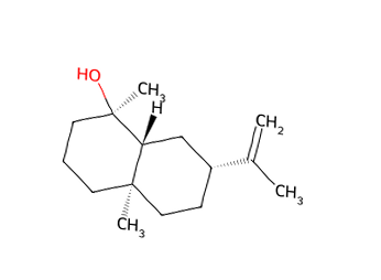 C=C(C)[C@@H]1CC[C@@]2(C)CCC[C@@](C)(O)[C@@H]2C1